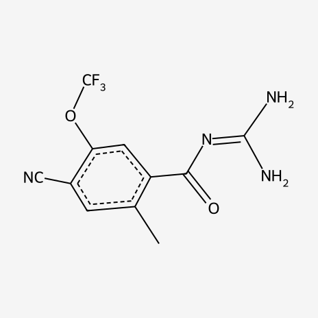 Cc1cc(C#N)c(OC(F)(F)F)cc1C(=O)N=C(N)N